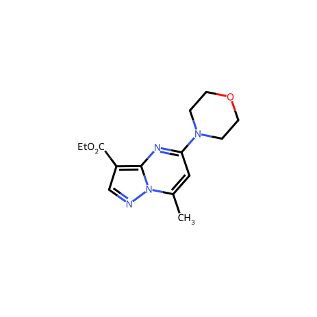 CCOC(=O)c1cnn2c(C)cc(N3CCOCC3)nc12